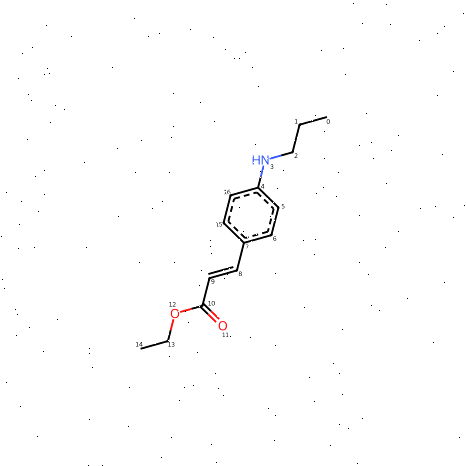 CCCNc1ccc(C=CC(=O)OCC)cc1